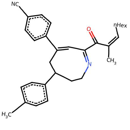 CCCCCC/C=C(/C)C(=O)C1=N/CCC(c2ccc(C)cc2)C/C(c2ccc(C#N)cc2)=C\1